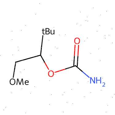 COCC(OC(N)=O)C(C)(C)C